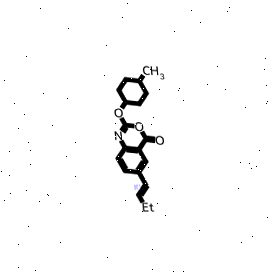 CC/C=C/c1ccc2nc(OC3CCC(C)CC3)oc(=O)c2c1